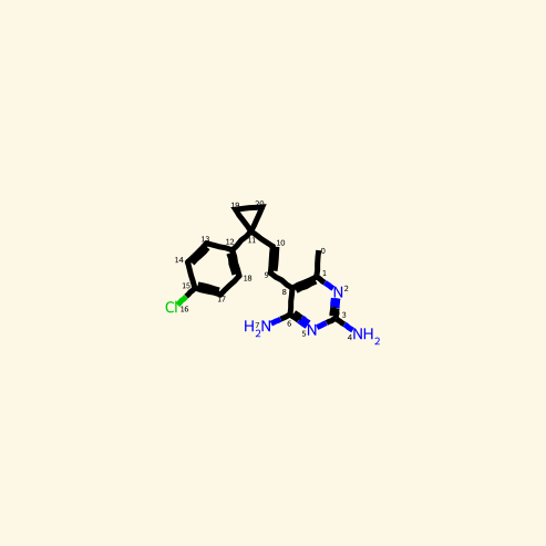 Cc1nc(N)nc(N)c1C=CC1(c2ccc(Cl)cc2)CC1